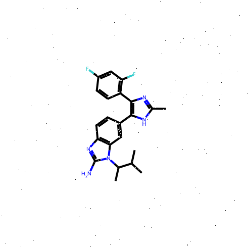 Cc1nc(-c2ccc(F)cc2F)c(-c2ccc3nc(N)n(C(C)C(C)C)c3c2)[nH]1